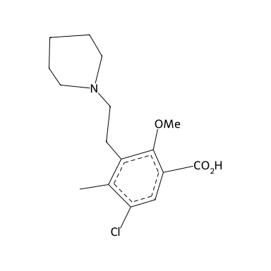 COc1c(C(=O)O)cc(Cl)c(C)c1CCN1CCCCC1